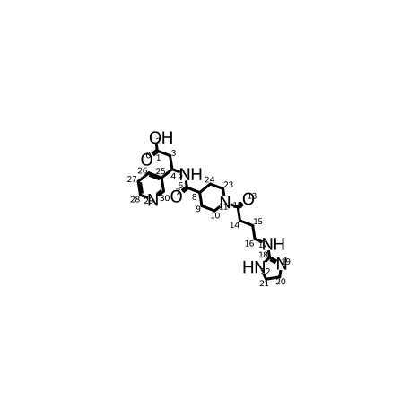 O=C(O)CC(NC(=O)C1CCN(C(=O)CCCNC2=NCCN2)CC1)c1cccnc1